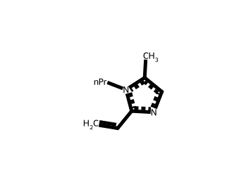 C=Cc1ncc(C)n1CCC